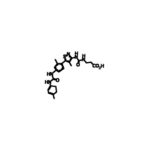 CC1=CC=C(NC(=O)Nc2ccc(-c3snc(NC(=O)NCCC(=O)O)c3C)c(C)c2)CC1